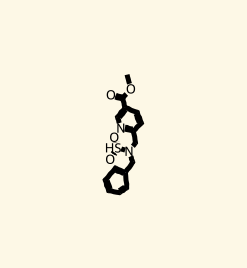 COC(=O)c1ccc(CN(Cc2ccccc2)[SH](=O)=O)nc1